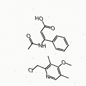 CC(=O)NC(=CC(=O)O)c1ccccc1.COc1c(C)cnc(CCl)c1C